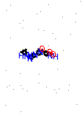 Cc1cc(C)cc(Nc2ncc3c(n2)CN(C2CCN(C(=O)c4ccc5[nH]c(=O)oc5c4)C(C)C2)C3)c1